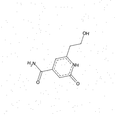 NC(=O)c1cc(CCO)[nH]c(=O)c1